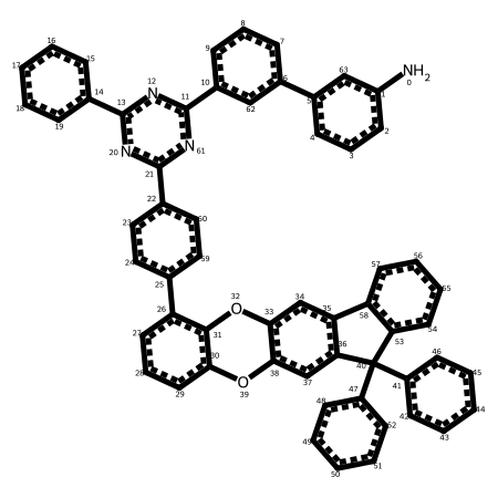 Nc1cccc(-c2cccc(-c3nc(-c4ccccc4)nc(-c4ccc(-c5cccc6c5Oc5cc7c(cc5O6)C(c5ccccc5)(c5ccccc5)c5ccccc5-7)cc4)n3)c2)c1